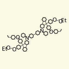 C=Cc1ccc(Oc2ccc(C3(c4ccc(OCCOCC)cc4)c4ccccc4-c4ccc(N(c5ccccc5)c5ccc(-c6ccc(N(c7ccccc7)c7ccc8c(c7)[C@@](c7ccc(OCCOCC)cc7)(c7ccc(Oc9ccc(C=C)cc9)cc7)c7ccccc7-8)cc6)cc5)cc43)cc2)cc1